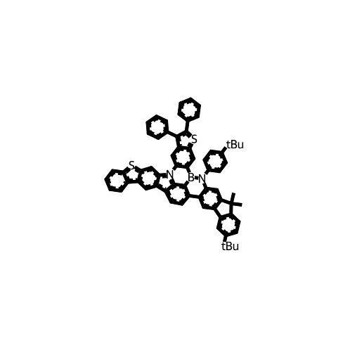 CC(C)(C)c1ccc(N2B3c4cc5sc(-c6ccccc6)c(-c6ccccc6)c5cc4-n4c5cc6sc7ccccc7c6cc5c5ccc(c3c54)-c3cc4c(cc32)C(C)(C)c2ccc(C(C)(C)C)cc2-4)cc1